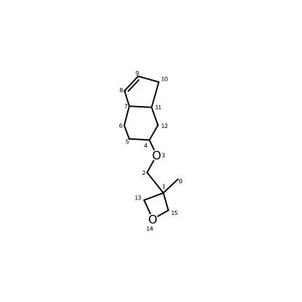 CC1(COC2CCC3C=CCC3C2)COC1